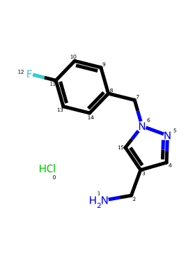 Cl.NCc1cnn(Cc2ccc(F)cc2)c1